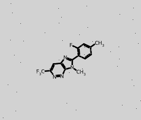 Cc1ccc(-c2nc3cc(C(F)(F)F)nnc3n2C)c(F)c1